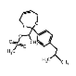 CC(C)Cc1ccc(C2(C(C)OS(C)(=O)=O)OCC=CCO2)cc1